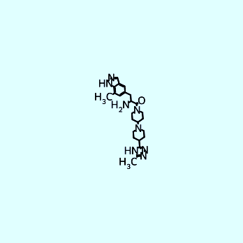 Cc1nnc(C2CCN(C3CCN(C(=O)C(N)Cc4cc(C)c5[nH]ncc5c4)CC3)CC2)[nH]1